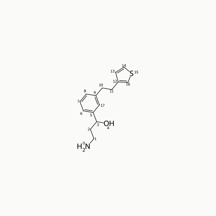 NCCC(O)c1cccc(CCc2ccsc2)c1